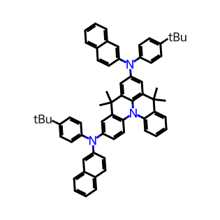 CC(C)(C)c1ccc(N(c2ccc3c(c2)C(C)(C)c2cc(N(c4ccc(C(C)(C)C)cc4)c4ccc5ccccc5c4)cc4c2N3c2ccccc2C4(C)C)c2ccc3ccccc3c2)cc1